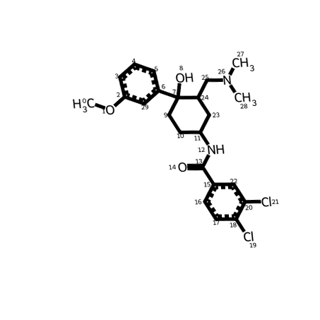 COc1cccc(C2(O)CCC(NC(=O)c3ccc(Cl)c(Cl)c3)CC2CN(C)C)c1